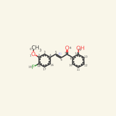 COc1cc(/C=C/C(=O)c2ccccc2O)ccc1F